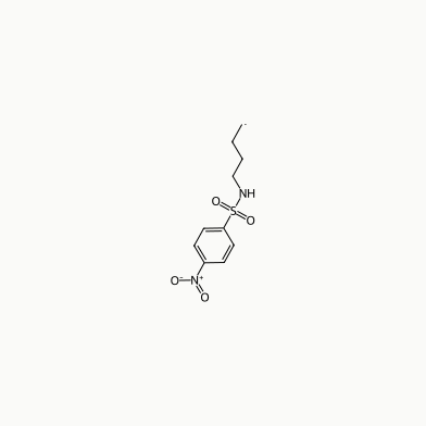 [CH2]CCCNS(=O)(=O)c1ccc([N+](=O)[O-])cc1